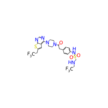 O=C(Cc1ccc(NS(=O)(=O)CNCC(F)(F)F)cc1)N1CCN(c2ncnc3sc(CC(F)(F)F)cc23)CC1